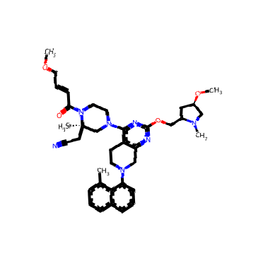 COC/C=C/C(=O)N1CCN(c2nc(OCC3C[C@@H](OC)CN3C)nc3c2CCN(c2cccc4cccc(C)c24)C3)C[C@@]1([SiH3])CC#N